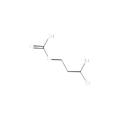 CCC(CC)CCOC(=O)S